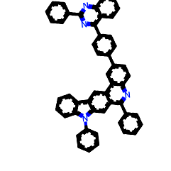 c1ccc(-c2nc(-c3ccc(-c4ccc5nc(-c6ccccc6)c6cc7c(cc6c5c4)c4ccccc4n7-c4ccccc4)cc3)c3ccccc3n2)cc1